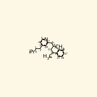 CC(C)CCc1ccnc(CC(C)C[C@@H](C)c2ccccc2)c1